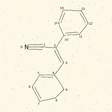 N#C/C(=C\C1=CC=CCC1)c1ccccc1